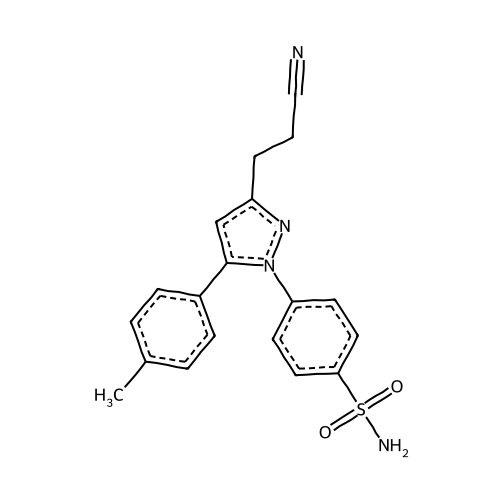 Cc1ccc(-c2cc(CCC#N)nn2-c2ccc(S(N)(=O)=O)cc2)cc1